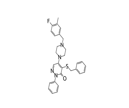 Cc1cc(CN2CCN(c3cnn(-c4ccccc4)c(=O)c3SCc3ccccc3)CC2)ccc1F